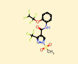 CS(=O)(=O)n1cc(C(=O)Nc2ccccc2OC(F)(F)C(F)F)c(C(F)(F)F)n1